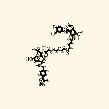 COc1cc2ncnc(Nc3ccc(F)c(Cl)c3)c2cc1NC(=O)/C=C/CN(C)CCOCCOCC(=O)N[C@H](C(=O)N1C[C@@H](O)C[C@H]1C(=O)NCc1ccc(-c2scnc2C)cc1)C(C)(C)C